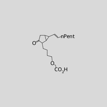 CCCCCC=CC1C2CC(=O)C(CCCCOCC(=O)O)C12